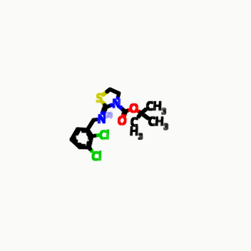 CC(C)(C)OC(=O)N1CCS/C1=N\Cc1cccc(Cl)c1Cl